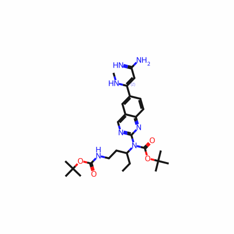 CCC(CCNC(=O)OC(C)(C)C)N(C(=O)OC(C)(C)C)c1ncc2cc(/C(=C/C(=N)N)NC)ccc2n1